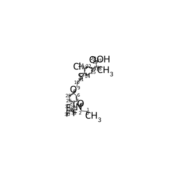 CCCN1OC2=CC(OCCCSc3ccc(C(C)C(=O)O)cc3Cl)=CCC2=C1C(F)(F)F